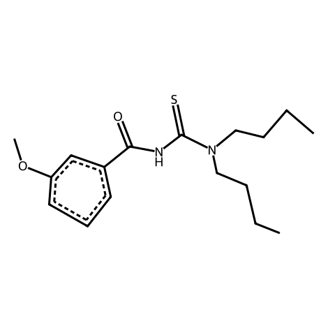 CCCCN(CCCC)C(=S)NC(=O)c1cccc(OC)c1